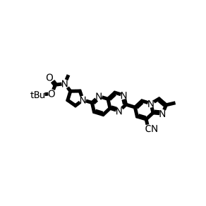 Cc1cn2cc(-c3ncc4nc(N5CCC(N(C)C(=O)OC(C)(C)C)C5)ccc4n3)cc(C#N)c2n1